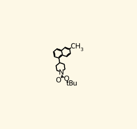 Cc1ccc2c(C3CCN(C(=O)OC(C)(C)C)CC3)cccc2c1